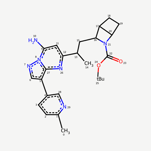 Cc1ccc(-c2cnn3c(N)cc(C(C)CC4C5CCC5N4C(=O)OC(C)(C)C)nc23)cn1